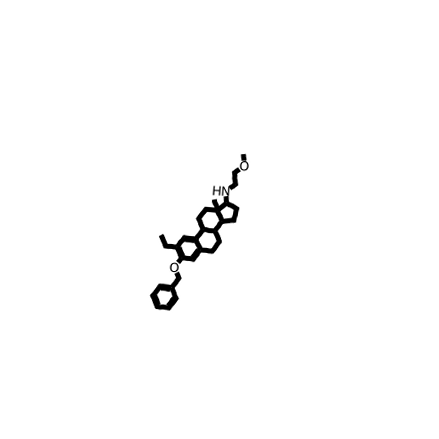 CCc1cc2c(cc1OCc1ccccc1)CCC1C2CCC2(C)C(NCCOC)CCC12